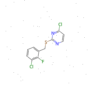 Fc1c(Cl)cccc1CSc1nccc(Cl)n1